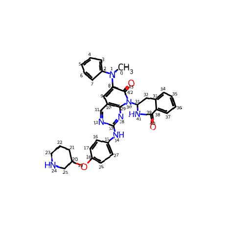 CN(c1ccccc1)c1cc2cnc(Nc3ccc(OC4CCCNC4)cc3)nc2n(C2Cc3ccccc3C(=O)N2)c1=O